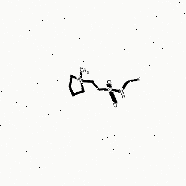 C[PH]1(CCS(=O)(=O)NCF)CCCC1